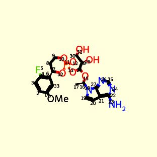 COc1ccc(F)c([C@H]2CCOP(=O)(OC(O[C@H](C)n3ccc4c(N)ncnc43)[C@@H](O)CO)O2)c1